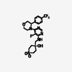 O=S1(=O)CCC(O)(CNc2ncnc(N3CCOCC3c3ccc(C(F)(F)F)cc3)c2F)CC1